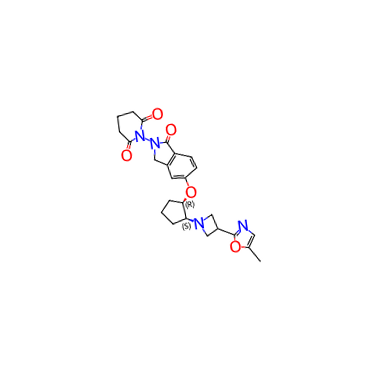 Cc1cnc(C2CN([C@H]3CCC[C@H]3Oc3ccc4c(c3)CN(N3C(=O)CCCC3=O)C4=O)C2)o1